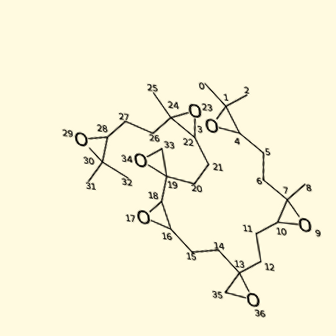 CC1(C)OC1CCC1(C)OC1CCC1(CCC2OC2C2(CCC3OC3(C)CCC3OC3(C)C)CO2)CO1